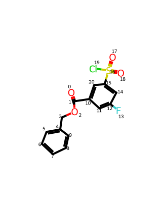 O=C(OCc1ccccc1)c1cc(F)cc(S(=O)(=O)Cl)c1